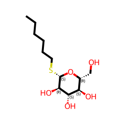 CCCCCCS[C@@H]1O[C@H](CO)[C@@H](O)[C@H](O)[C@H]1O